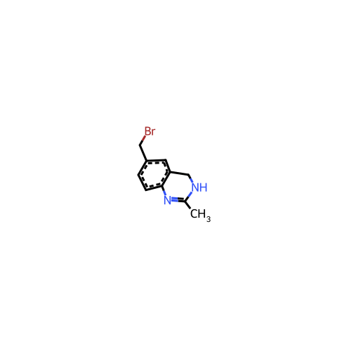 CC1=Nc2ccc(CBr)cc2CN1